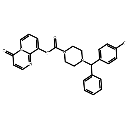 O=C(Sc1cccn2c(=O)ccnc12)N1CCN(C(c2ccccc2)c2ccc(Cl)cc2)CC1